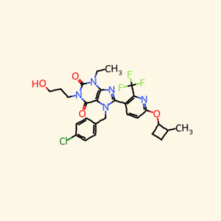 CCn1c(=O)n(CCCO)c(=O)c2c1nc(-c1ccc(OC3CCC3C)nc1C(F)(F)F)n2Cc1ccc(Cl)cc1